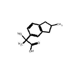 CC1Cc2ccc(C(C)(O)C(=O)O)cc2C1